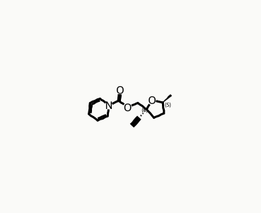 C#C[C@@]1(COC(=O)N2C=C=CC=C2)CC[C@H](C)O1